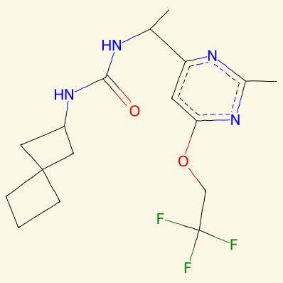 Cc1nc(OCC(F)(F)F)cc(C(C)NC(=O)NC2CC3(CCC3)C2)n1